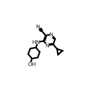 N#Cc1ncc(C2CC2)nc1NC1CCC(O)CC1